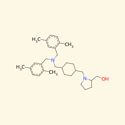 Cc1ccc(C)c(CN(Cc2cc(C)ccc2C)CC2CCC(CN3CCCC3CO)CC2)c1